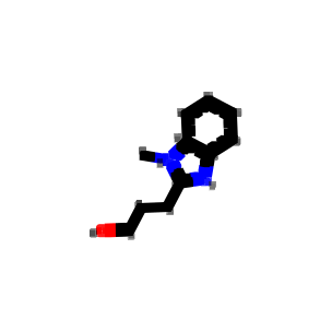 Cn1c(CCC=O)nc2ccccc21